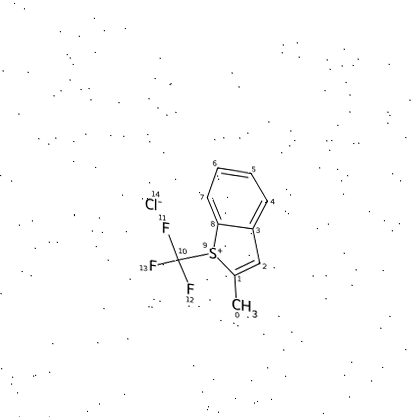 Cc1cc2ccccc2[s+]1C(F)(F)F.[Cl-]